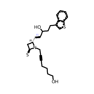 OCCCCC#CCN1C(=S)C[C@@H]1/C=C/C(O)CCc1csc2ccccc12